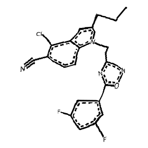 CCCc1cc2c(Cl)c(C#N)ccc2n1Cc1noc(-c2cc(F)cc(F)c2)n1